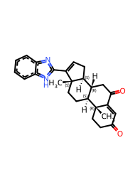 C[C@]12CCC(=O)C=C1C(=O)C[C@@H]1[C@@H]2CC[C@]2(C)C(c3nc4ccccc4[nH]3)=CC[C@@H]12